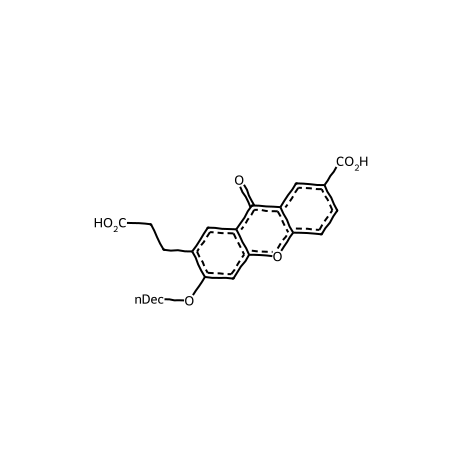 CCCCCCCCCCOc1cc2oc3ccc(C(=O)O)cc3c(=O)c2cc1CCC(=O)O